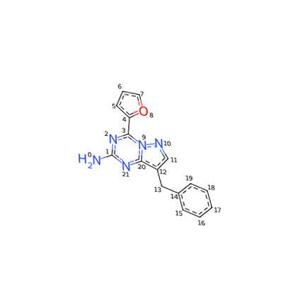 Nc1nc(-c2ccco2)n2ncc(Cc3ccccc3)c2n1